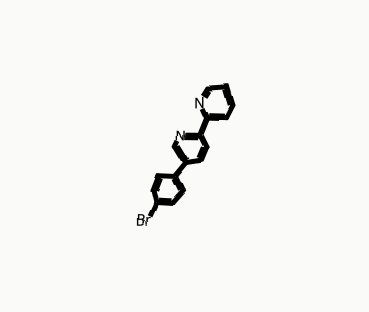 Brc1ccc(-c2ccc(-c3ccccn3)nc2)cc1